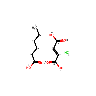 CCCCCC(=O)O.Cl.O=C(O)C=CC(=O)O